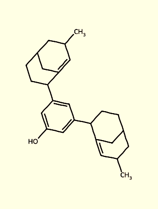 CC1C=C2CC(CCC2c2cc(O)cc(C3CCC4CC3=CC(C)C4)c2)C1